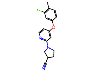 Cc1ccc(Oc2ccnc(N3CCC(C#N)C3)c2)cc1F